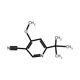 COc1cc(C(C)(C)C)ncc1C#N